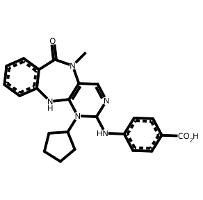 CN1C(=O)c2ccccc2NC2=C1C=NC(Nc1ccc(C(=O)O)cc1)N2C1CCCC1